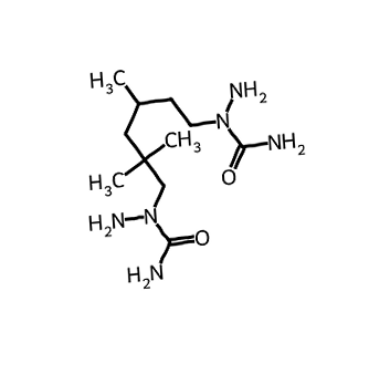 CC(CCN(N)C(N)=O)CC(C)(C)CN(N)C(N)=O